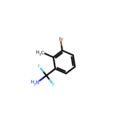 Cc1c(Br)cccc1C(N)(F)F